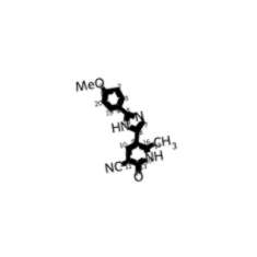 COc1ccc(-c2ncc(-c3cc(C#N)c(=O)[nH]c3C)[nH]2)cc1